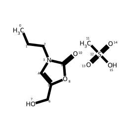 CCCn1cc(CO)oc1=O.CS(=O)(=O)O